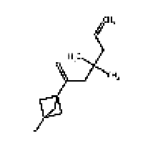 C=CCC(C)(C)CC(=O)C12CC(F)(C1)C2